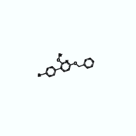 BrOc1nc(OCc2ccccc2)ccc1-c1ccc(Br)cc1